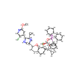 CCOc1cc(-c2ncc(C3CCc4ccc([C@H](C5CC5)[C@H](C)C(=O)O[PH](c5ccccc5)(c5ccccc5)c5ccccc5)c(F)c4O3)nc2C)c(F)cn1